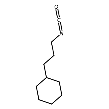 O=C=NCCCC1CCCCC1